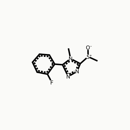 Cn1c(-c2ccccc2F)nnc1[S+](C)[O-]